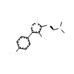 CN(C)C=Nc1[nH]nc(-c2ccc(N)cc2)c1C#N